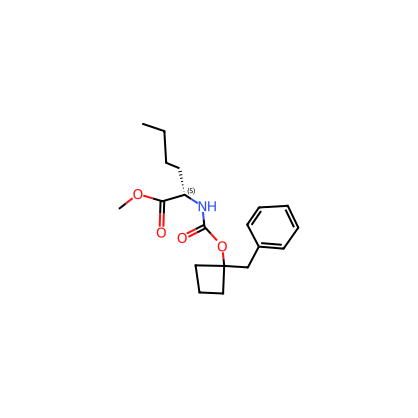 CCCC[C@H](NC(=O)OC1(Cc2ccccc2)CCC1)C(=O)OC